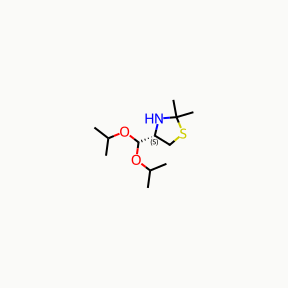 CC(C)OC(OC(C)C)[C@H]1CSC(C)(C)N1